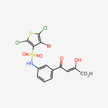 O=C(O)C(O)=CC(=O)c1cccc(NS(=O)(=O)c2c(Cl)sc(Cl)c2Br)c1